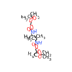 C=C(C)C(=O)OCCOC(=O)NCC(C)CC(C)(C)CCNC(=O)OCC(C)OC(=O)C(=C)C